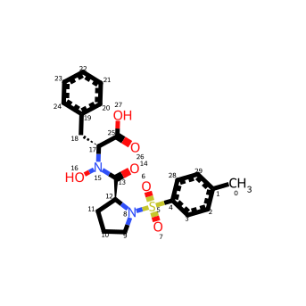 Cc1ccc(S(=O)(=O)N2CCC[C@H]2C(=O)N(O)[C@H](Cc2ccccc2)C(=O)O)cc1